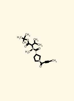 CC#CC(=O)N1CC[C@H](C(=O)N(C)C(C(=O)OC(C)(C)C)C(C)C)C1